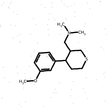 COc1cccc(C2CCSCC2CN(C)C)c1